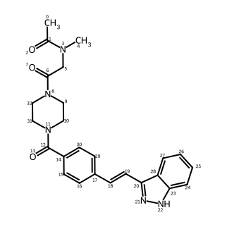 CC(=O)N(C)CC(=O)N1CCN(C(=O)c2ccc(C=Cc3n[nH]c4ccccc34)cc2)CC1